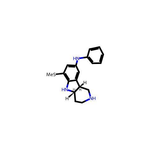 CSc1cc(Nc2ccccc2)cc2c1N[C@H]1CCNC[C@@H]21